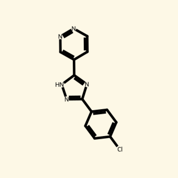 Clc1ccc(-c2n[nH]c(-c3ccnnc3)n2)cc1